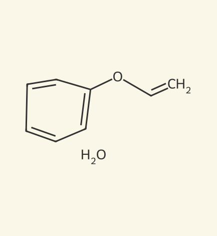 C=COc1ccccc1.O